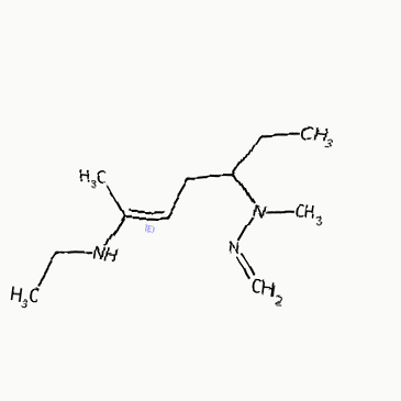 C=NN(C)C(CC)C/C=C(\C)NCC